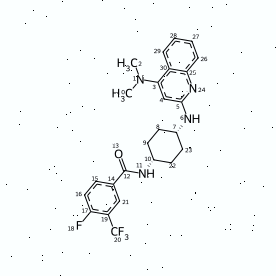 CN(C)c1cc(N[C@H]2CC[C@@H](NC(=O)c3ccc(F)c(C(F)(F)F)c3)CC2)nc2ccccc12